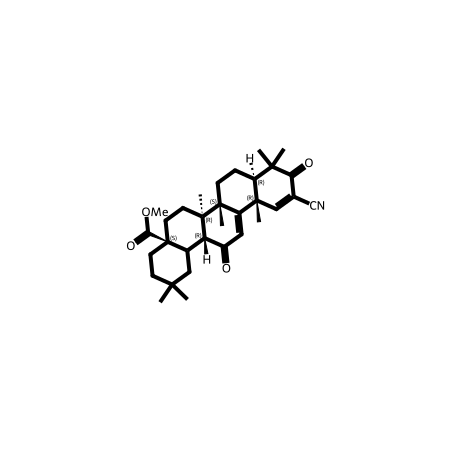 COC(=O)[C@]12CCC(C)(C)CC1[C@H]1C(=O)C=C3[C@@]4(C)C=C(C#N)C(=O)C(C)(C)[C@@H]4CC[C@@]3(C)[C@]1(C)CC2